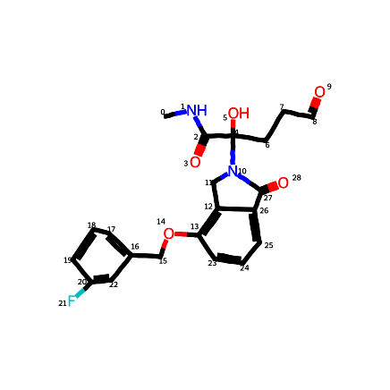 CNC(=O)C(O)(CCC=O)N1Cc2c(OCc3cccc(F)c3)cccc2C1=O